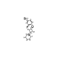 Fc1cc(Br)ccc1O[C@H]1C[C@H](N2CCCCC2)C1